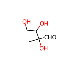 CC(O)(C=O)C(O)CO